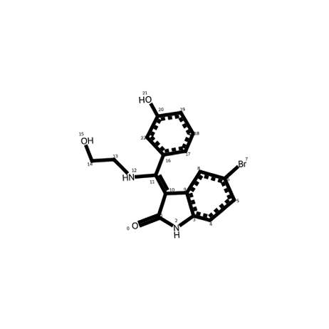 O=C1Nc2ccc(Br)cc2/C1=C(/NCCO)c1cccc(O)c1